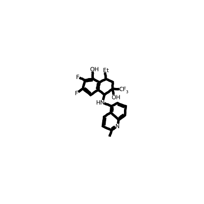 CCC1CC(O)(C(F)(F)F)C(Nc2cccc3nc(C)ccc23)c2cc(F)c(F)c(O)c21